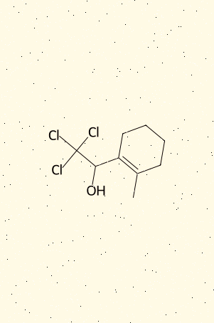 CC1=C(C(O)C(Cl)(Cl)Cl)CCCC1